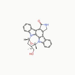 C[C@]1(CO)C[C@H]2O[C@]1(C)n1c3ccccc3c3c4c(c5c6ccccc6n2c5c31)C(=O)NC4